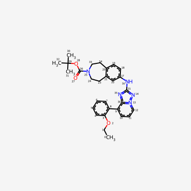 CCOc1ccccc1-c1cccn2nc(Nc3ccc4c(c3)CCN(C(=O)OC(C)(C)C)CC4)nc12